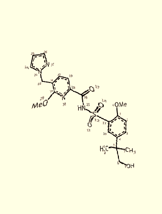 COc1ccc(C(C)(C)CO)cc1S(=O)(=O)NC(=O)c1ccc(Cn2cccn2)c(OC)n1